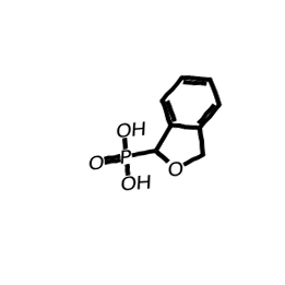 O=P(O)(O)C1OCc2ccccc21